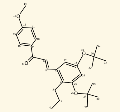 CCCc1c(C=CC(=O)c2ccc(OC)cc2)cc(OC(C)(C)C)cc1OC(C)(C)C